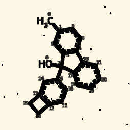 Cc1ccc2c(c1)C(O)(c1ccc3c(c1)CC3)c1ccccc1-2